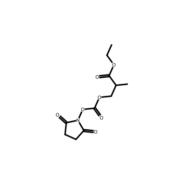 CCOC(=O)C(C)COC(=O)ON1C(=O)CCC1=O